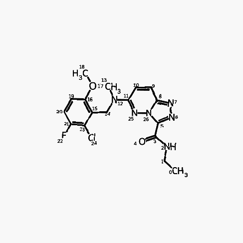 CCNC(=O)c1nnc2ccc(N(C)Cc3c(OC)ccc(F)c3Cl)nn12